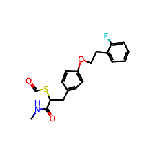 CNC(=O)C(Cc1ccc(OCCc2ccccc2F)cc1)SC=O